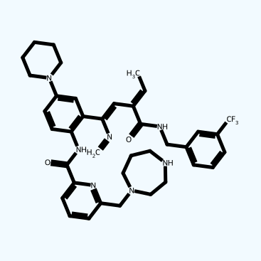 C=N/C(=C\C(=C/C)C(=O)NCc1cccc(C(F)(F)F)c1)c1cc(N2CCCCC2)ccc1NC(=O)c1cccc(CN2CCCNCC2)n1